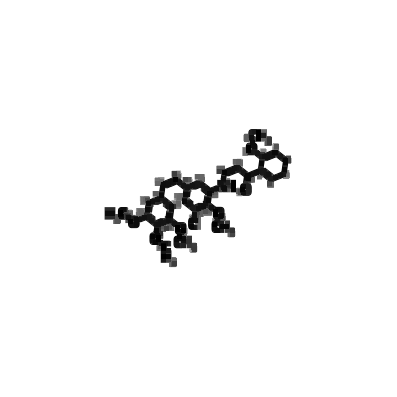 COC1=CCCC=C1C(=O)/C=C\Nc1cc(/C=C\c2cc(OC)c(OC)c(OC)c2)cc(Cl)c1OC